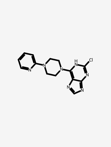 Clc1nc2ncnc-2c(N2CCN(c3ccccn3)CC2)[nH]1